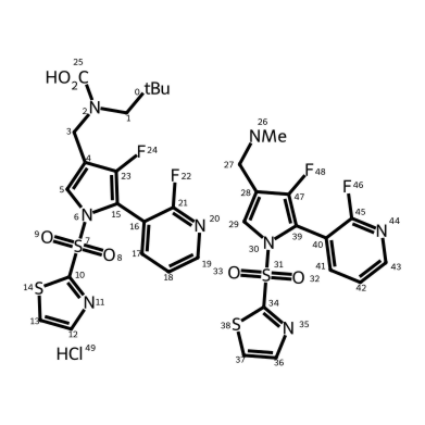 CC(C)(C)CN(Cc1cn(S(=O)(=O)c2nccs2)c(-c2cccnc2F)c1F)C(=O)O.CNCc1cn(S(=O)(=O)c2nccs2)c(-c2cccnc2F)c1F.Cl